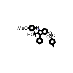 COc1ccc(/N=C2\C(C(C)(C)O)=C(c3ccccc3)c3cc(OS(=O)(=O)c4ccc(C)cc4)ccc32)cc1